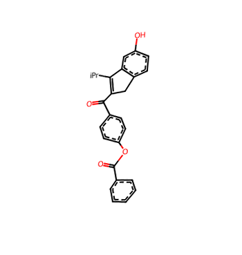 CC(C)C1=C(C(=O)c2ccc(OC(=O)c3ccccc3)cc2)Cc2ccc(O)cc21